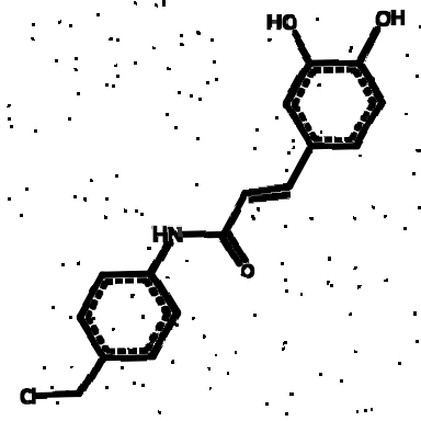 O=C(C=Cc1ccc(O)c(O)c1)Nc1ccc(CCl)cc1